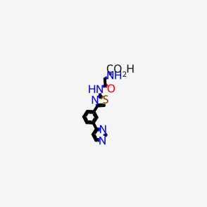 O=C(O)NCC(=O)Nc1nc(-c2cccc(-c3ccncn3)c2)cs1